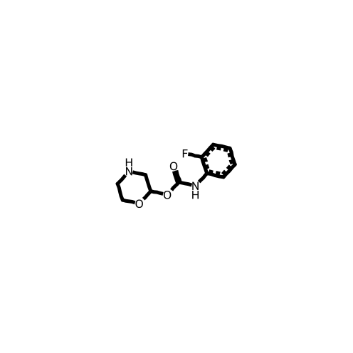 O=C(Nc1ccccc1F)OC1CNCCO1